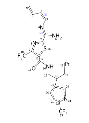 C=C/C=C\N=C(/N)c1nc(C(F)(F)F)c(C(=O)NCC(CC(C)C)c2ccc(C(F)(F)F)nc2)s1